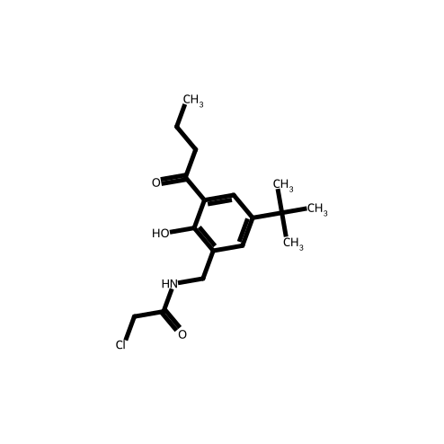 CCCC(=O)c1cc(C(C)(C)C)cc(CNC(=O)CCl)c1O